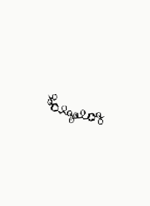 CC(=O)Oc1ccc(CC(=O)CO[N+](=O)OCC(=O)Cc2ccc(OC(C)=O)cc2)cc1